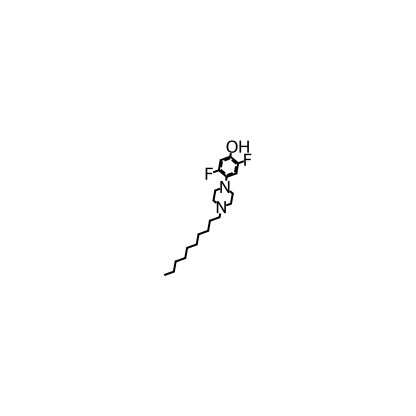 CCCCCCCCCCN1CCN(c2cc(F)c(O)cc2F)CC1